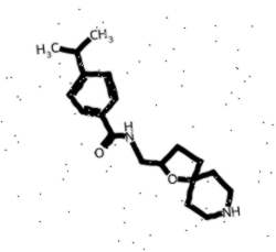 CC(C)c1ccc(C(=O)NCC2CCC3(CCNCC3)O2)cc1